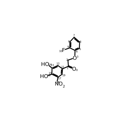 O=C(COc1ccccc1F)c1cc(O)c(O)c([N+](=O)[O-])c1